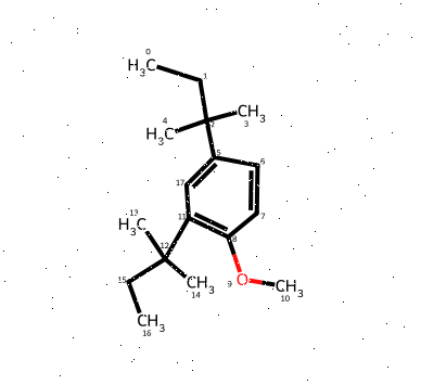 CCC(C)(C)c1ccc(OC)c(C(C)(C)CC)c1